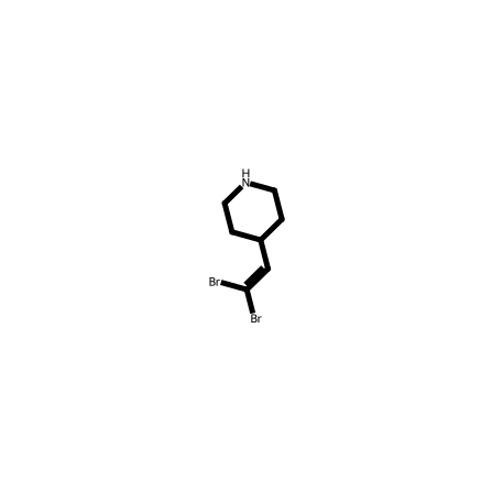 BrC(Br)=CC1CCNCC1